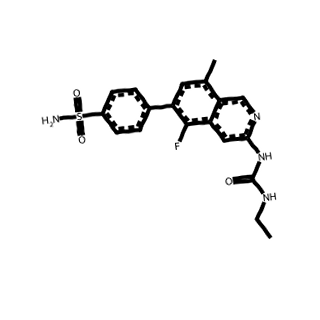 CCNC(=O)Nc1cc2c(F)c(-c3ccc(S(N)(=O)=O)cc3)cc(C)c2cn1